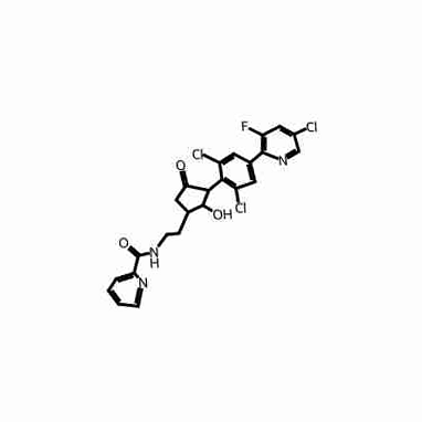 O=C(NCCC1CC(=O)C(c2c(Cl)cc(-c3ncc(Cl)cc3F)cc2Cl)C1O)c1ccccn1